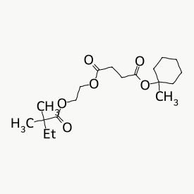 CCC(C)(C)C(=O)OCCOC(=O)CCC(=O)OC1(C)CCCCC1